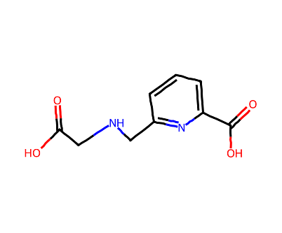 O=C(O)CNCc1cccc(C(=O)O)n1